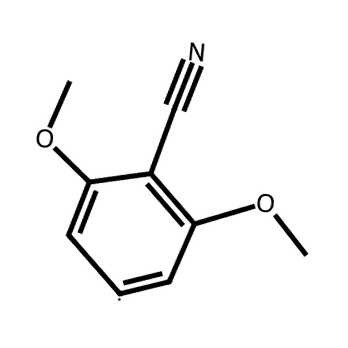 COc1c[c]cc(OC)c1C#N